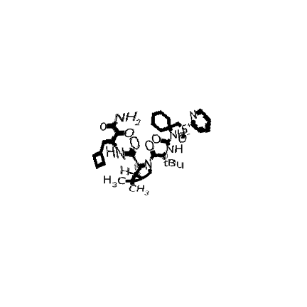 CC(C)(C)[C@H](NC(=O)NC1(C[S+]([O-])c2ccccn2)CCCCC1)C(=O)N1CC2[C@@H]([C@H]1C(=O)NC(CC1CCC1)C(=O)C(N)=O)C2(C)C